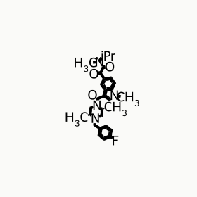 CC(C)N(C)C(=O)C(=O)c1ccc2c(c1)c(C(=O)N1C[C@H](C)N(Cc3ccc(F)cc3)C[C@H]1C)cn2C